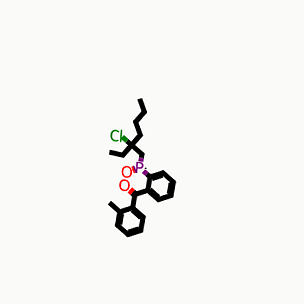 CCCCC(Cl)(CC)C[P](=O)c1ccccc1C(=O)c1ccccc1C